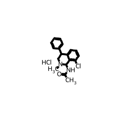 CC(=O)NC1c2c(Cl)cccc2C(c2ccccc2)CN1C.Cl